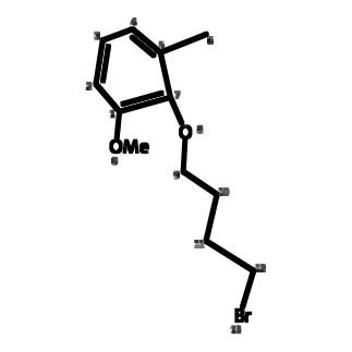 COc1cccc(C)c1OCCCCBr